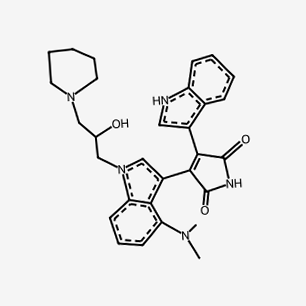 CN(C)c1cccc2c1c(C1=C(c3c[nH]c4ccccc34)C(=O)NC1=O)cn2CC(O)CN1CCCCC1